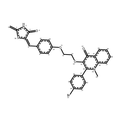 C=c1[nH]c(=O)/c(=C\c2ccc(OCCOc3c(-c4ccc(Br)cc4)n(C)c4ccccc4c3=O)cc2)s1